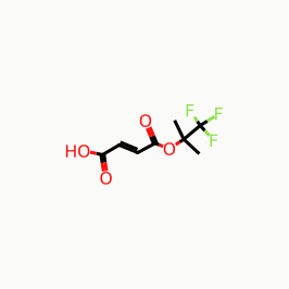 CC(C)(OC(=O)/C=C/C(=O)O)C(F)(F)F